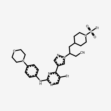 CCc1cnc(Nc2ccc(N3CCOCC3)cc2)nc1-c1cnn(C(CC#N)CC2CCN(S(=O)(=O)CC)CC2)c1